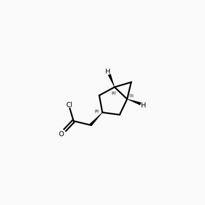 O=C(Cl)C[C@H]1C[C@@H]2C[C@@H]2C1